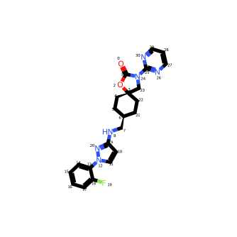 O=C1O[C@]2(CC[C@H](CNc3ccn(-c4ccccc4F)n3)CC2)CN1c1ncccn1